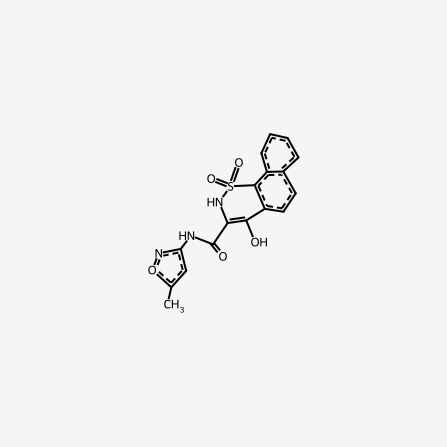 Cc1cc(NC(=O)C2=C(O)c3ccc4ccccc4c3S(=O)(=O)N2)no1